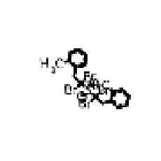 Cc1ccccc1CC(Br)(Br)S(=O)(=O)C(Br)(Br)Cc1ccccc1C